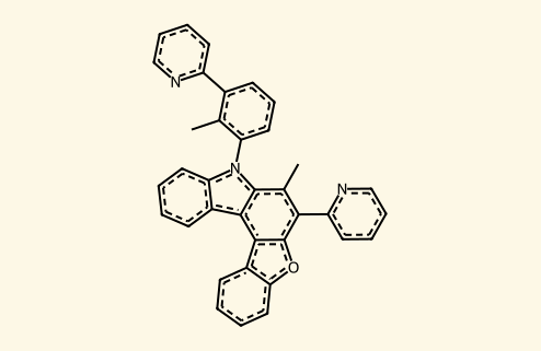 Cc1c(-c2ccccn2)cccc1-n1c2ccccc2c2c3c(oc4ccccc43)c(-c3ccccn3)c(C)c21